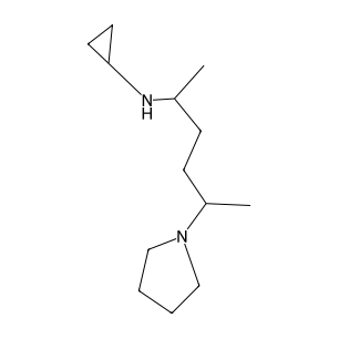 CC(CCC(C)N1CCCC1)NC1CC1